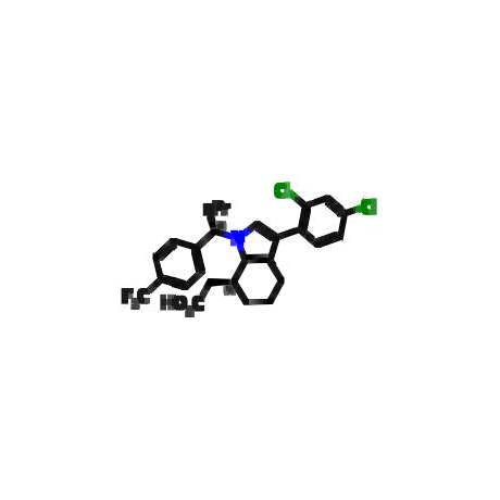 CCC[C@H](c1ccc(C(F)(F)F)cc1)n1cc(-c2ccc(Cl)cc2Cl)c2c1[C@H](CC(=O)O)CCC2